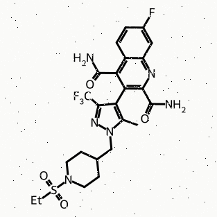 CCS(=O)(=O)N1CCC(Cn2nc(C(F)(F)F)c(-c3c(C(N)=O)nc4cc(F)ccc4c3C(N)=O)c2C)CC1